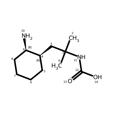 CC(C)(C[C@H]1CCCC[C@H]1N)NC(=O)O